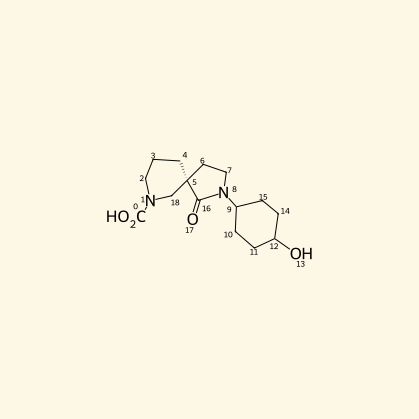 O=C(O)N1CCC[C@@]2(CCN(C3CCC(O)CC3)C2=O)C1